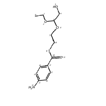 CCOC(CO)OCCSC(=O)c1ccc(N)cc1